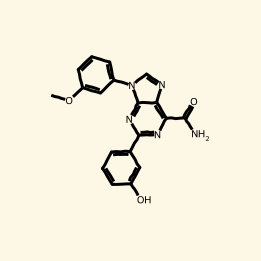 COc1cccc(-n2cnc3c(C(N)=O)nc(-c4cccc(O)c4)nc32)c1